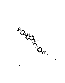 CN(C)C1CCN(c2ncc3cc(NC(=O)COc4ccc(C(F)(F)F)cc4)ccc3n2)CC1